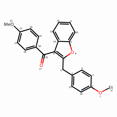 CCOc1ccc(Cc2oc3ccccc3c2C(=O)c2ccc(OC)cc2)cc1